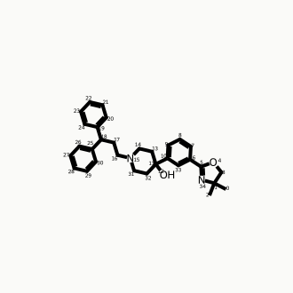 CC1(C)COC(c2cccc(C3(O)CCN(CCC(c4ccccc4)c4ccccc4)CC3)c2)=N1